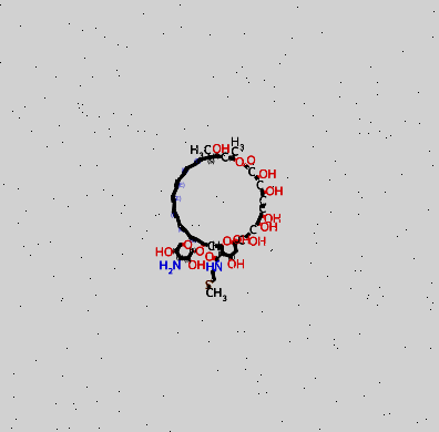 CSCCNC(=O)[C@H]1[C@@H]2CC(O[C@@H]3OC[C@@H](O)[C@H](N)[C@@H]3O)/C=C/C=C/C=C/C=C/C=C/C=C/C=C/[C@H](C)[C@@H](O)C[C@H](C)OC(=O)CC(O)CC(O)CCC(O)C(O)CC(O)CC(O)(C[C@@H]1O)O2